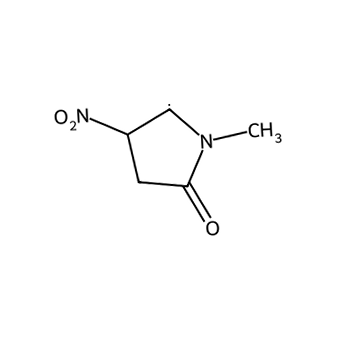 CN1[CH]C([N+](=O)[O-])CC1=O